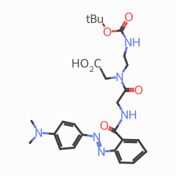 CN(C)c1ccc(N=Nc2ccccc2C(=O)NCC(=O)N(CCNC(=O)OC(C)(C)C)CC(=O)O)cc1